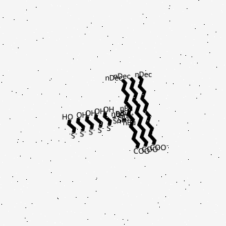 CCCCCCCCCCCCCCCCCCCCCC(=O)[O-].CCCCCCCCCCCCCCCCCCCCCC(=O)[O-].CCCCCCCCCCCCCCCCCCCCCC(=O)[O-].CCC[CH2][Sn+2][CH2]CCC.CCC[CH2][Sn+3].CCC[CH2][Sn+3].OCC[S-].OCC[S-].OCC[S-].OCC[S-].OCC[S-]